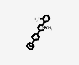 Cc1ccccc1-c1ccc(-c2ccc(C3C4CCCC3C4)cc2)c[n+]1C